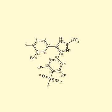 Cc1ccc(-c2[nH]c(C(F)(F)F)nc2-c2cc(F)c(S(C)(=O)=O)c(F)c2)cc1Br